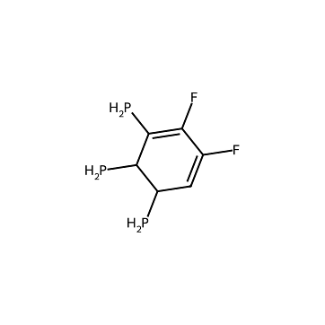 FC1=CC(P)C(P)C(P)=C1F